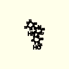 OCc1ccc2[nH]c3c(-c4ccccc4)nccc3c2c1